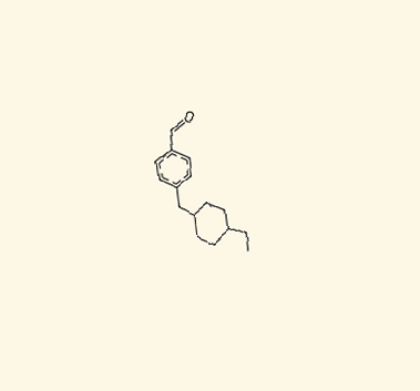 CCC1CCC(Cc2ccc(C=O)cc2)CC1